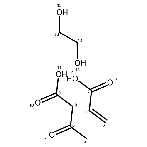 C=CC(=O)O.CC(=O)CC(=O)O.OCCO